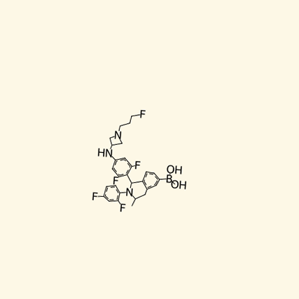 CC1Cc2cc(B(O)O)ccc2C(c2c(F)cc(NC3CN(CCCF)C3)cc2F)N1c1ccc(F)cc1F